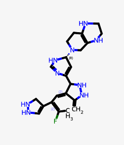 C=C1NNC(C2=C[C@@H](N3CCC4=C(C3)NCCN4)NC=N2)/C1=C/C(C1=CNNC1)=C(\C)F